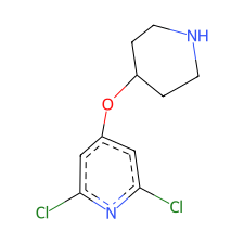 Clc1cc(OC2CCNCC2)cc(Cl)n1